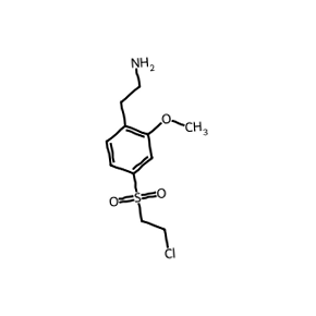 COc1cc(S(=O)(=O)CCCl)ccc1CCN